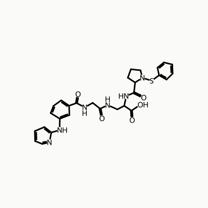 O=C(CNC(=O)c1cccc(Nc2ccccn2)c1)NCC(NC(=O)C1CCCN1Sc1ccccc1)C(=O)O